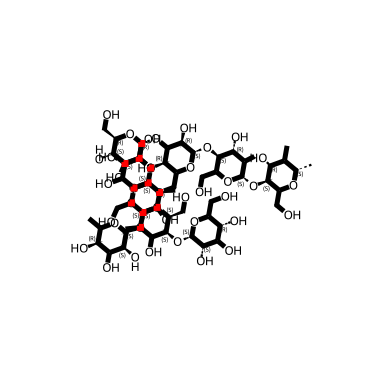 CC1C(O)[C@H](O[C@@H]2OC(CO)[C@H](O)C(O)[C@@H]2O)[C@H](CO)O[C@H]1O[C@@H]1C(O)[C@H](O)C(CO)O[C@@H]1OCC1O[C@@H](O[C@@H]2C(CO)O[C@@H](O[C@@H]3C(CO)O[C@@H](C)C(C)[C@H]3O)C(C)[C@H]2O)[C@H](O)C(O[C@H]2O[C@H](CO)[C@@H](O)C(O)C2O[C@@H]2OC(CO)[C@@H](O[C@@H]3OC(C)[C@H](O)C(O)[C@@H]3O)C(O)[C@@H]2C)[C@@H]1O